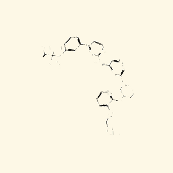 CCOc1cccnc1OC1CCCN(c2cncc(Nc3nccc(-c4cccc(CC(C)(C)C(=O)O)c4)n3)n2)C1